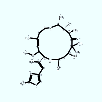 COC1/C=C(/C)CCC[C@H](C)[C@H](O)[C@@H](C)C(=O)C(C)(C)[C@@H](O)C[C@@H](O)O[C@@H]1/C(C)=C/c1csc(C)n1